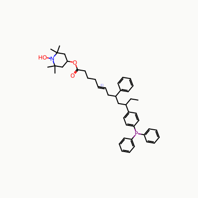 CCC(CC(C/C=C/CCCC(=O)OC1CC(C)(C)N(O)C(C)(C)C1)c1ccccc1)c1ccc(P(c2ccccc2)c2ccccc2)cc1